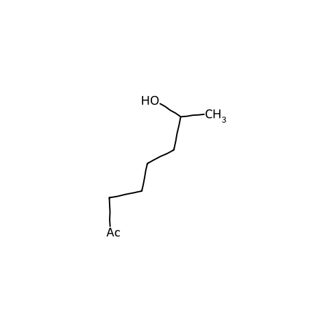 CC(=O)CCCCC(C)O